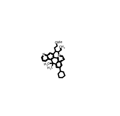 C=CC1C(CCOC)c2cc3ncccc3c3c2-c2c4c(cc(C5CCCCC5)cc4cc[n+]21)C3(C)C